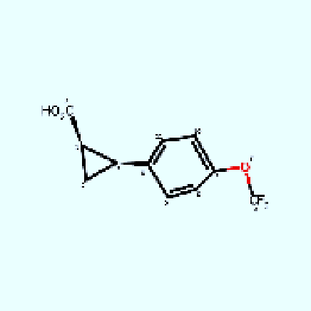 O=C(O)[C@@H]1C[C@@H]1c1ccc(OC(F)(F)F)cc1